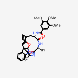 COc1cc(C(=O)N[C@H]2Cc3ccc4c(c3)C3(c5ccccc5NC3O4)c3oc(nc3C)[C@H](C(C)C)NC2=O)cc(OC)c1OC